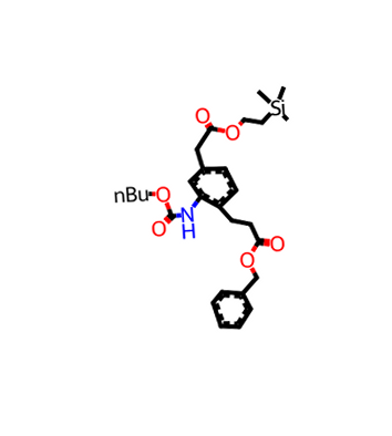 CCCCOC(=O)Nc1cc(CC(=O)OCC[Si](C)(C)C)ccc1CCC(=O)OCc1ccccc1